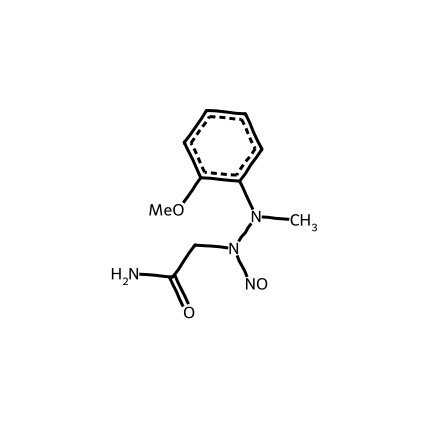 COc1ccccc1N(C)N(CC(N)=O)N=O